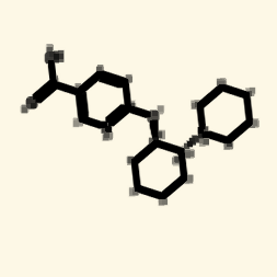 O=C(O)c1ccc(O[C@@H]2CCCC[C@H]2N2CCCCC2)nc1